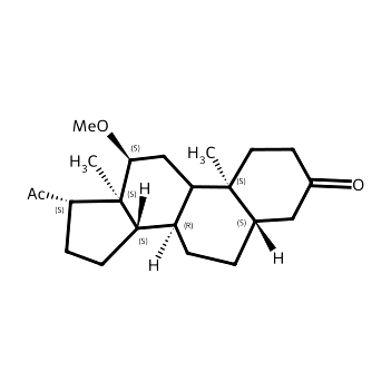 CO[C@H]1CC2[C@@H](CC[C@H]3CC(=O)CC[C@]23C)[C@@H]2CC[C@H](C(C)=O)[C@@]12C